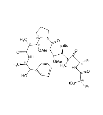 CC[C@H](C)C(C(CC(=O)N1CCC[C@H]1[C@H](OC)[C@@H](C)C(=O)N[C@H](C)C(O)c1ccccc1)OC)N(C)C(=O)[C@@H](NC(=O)[C@H](C(C)C)C(C)(C)C)C(C)C